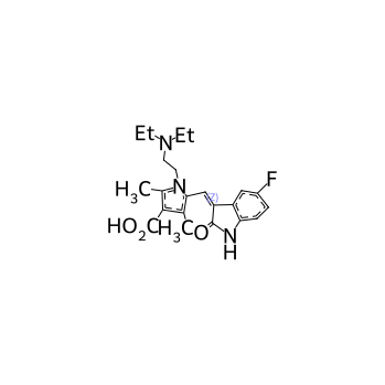 CCN(CC)CCn1c(C)c(C(=O)O)c(C)c1/C=C1\C(=O)Nc2ccc(F)cc21